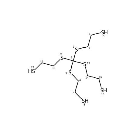 SCCSC(SCCS)(SCCS)SCCS